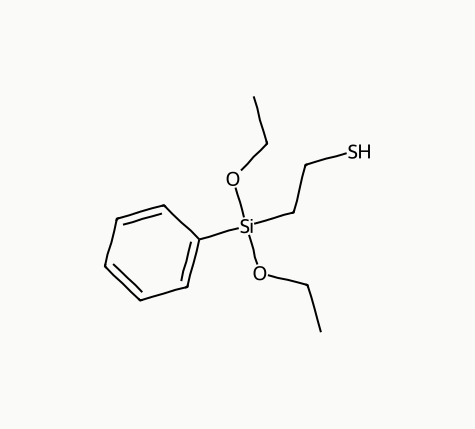 CCO[Si](CCS)(OCC)c1ccccc1